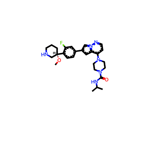 CO[C@@]1(c2ccc(-c3cc4c(N5CCN(C(=O)NC(C)C)CC5)ccnn4c3)cc2F)CCCNC1